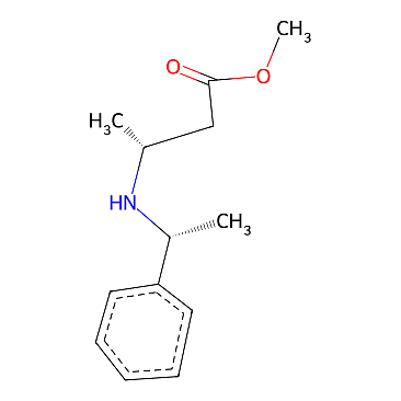 COC(=O)C[C@@H](C)N[C@H](C)c1ccccc1